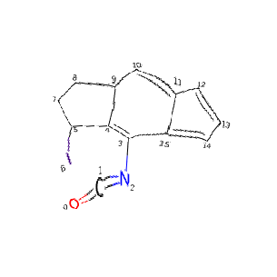 O=C=NC1=C2C(I)CCC2C=C2C=CC=C21